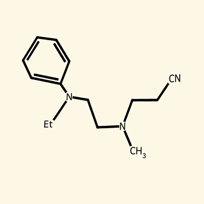 CCN(CCN(C)CCC#N)c1ccccc1